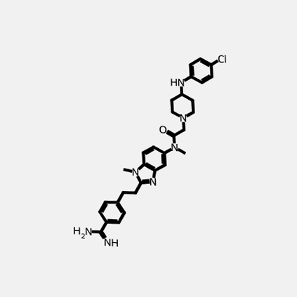 CN(C(=O)CN1CCC(Nc2ccc(Cl)cc2)CC1)c1ccc2c(c1)nc(CCc1ccc(C(=N)N)cc1)n2C